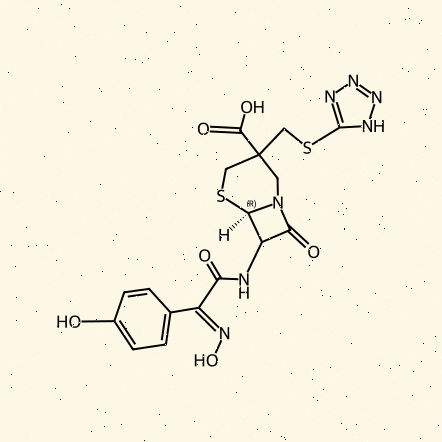 O=C(NC1C(=O)N2CC(CSc3nnn[nH]3)(C(=O)O)CS[C@H]12)C(=NO)c1ccc(O)cc1